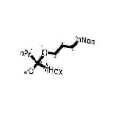 CCCCCCCCCCCCOC([O])(CCC)CCCCCC